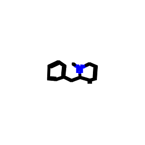 CN1CC=C[C]C1Cc1ccccc1